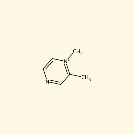 Cc1cncc[n+]1C